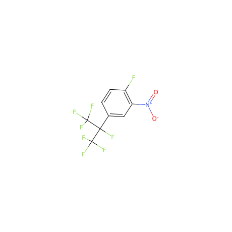 O=[N+]([O-])c1cc(C(F)(C(F)(F)F)C(F)(F)F)ccc1F